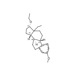 CCO[C@H]1CC[C@H]2[C@@H]3CCc4cc(OC)ccc4[C@H]3CCC12CC